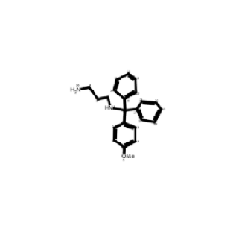 COc1ccc(C(NCCCN)(c2ccccc2)c2ccccc2)cc1